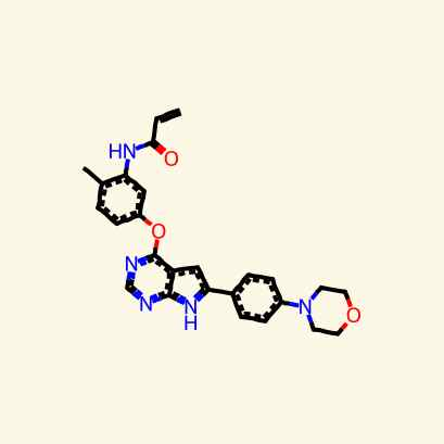 C=CC(=O)Nc1cc(Oc2ncnc3[nH]c(-c4ccc(N5CCOCC5)cc4)cc23)ccc1C